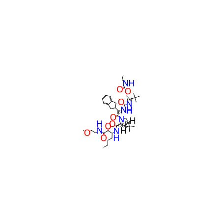 CCCCC(NC(=O)[C@@H]1[C@@H]2[C@H](CN1C(=O)[C@@H](NC(=O)N[C@H](COC(=O)NCC)C(C)(C)C)C1Cc3ccccc3C1)C2(C)C)C(=O)C(=O)NCCOC